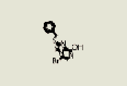 Oc1ncc(Br)n2nc(SCc3ccccc3)nc12